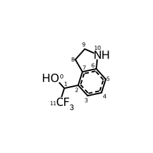 OC(c1cccc2c1CCN2)C(F)(F)F